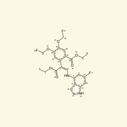 CCOC(=O)/C(=C\Nc1cc(F)cc2[nH]ccc12)c1cc(OCF)c(OCF)cc1C(=O)OCC